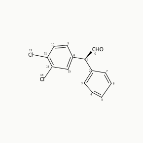 O=C[C@@H](c1ccccc1)c1ccc(Cl)c(Cl)c1